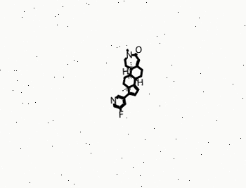 CN1CC[C@@]2(C)C(=CC1=O)CC[C@H]1C3=CC=C(c4cncc(F)c4)[C@@]3(C)CC[C@@H]12